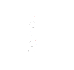 O=C(c1ccc(-n2cc(-c3cc4cc(F)ccc4[nH]c3=O)nn2)cc1)N1CC[C@H](F)C1